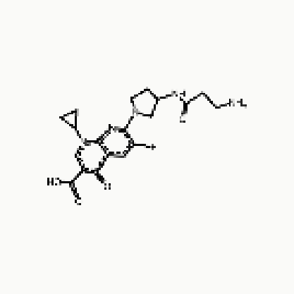 NCCC(=O)NC1CCN(c2nc3c(cc2F)c(=O)c(C(=O)O)cn3C2CC2)C1